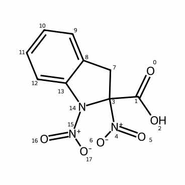 O=C(O)C1([N+](=O)[O-])Cc2ccccc2N1[N+](=O)[O-]